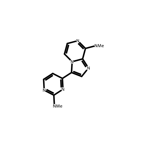 CNc1nccc(-c2cnc3c(NC)nccn23)n1